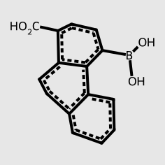 O=C(O)c1ccc(B(O)O)c2c1ccc1ccccc12